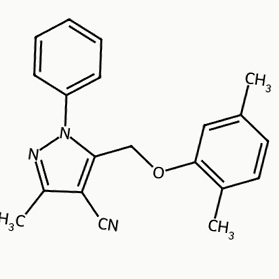 Cc1ccc(C)c(OCc2c(C#N)c(C)nn2-c2ccccc2)c1